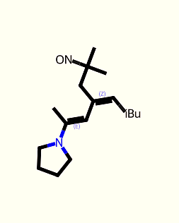 CCC(C)/C=C(\C=C(/C)N1CCCC1)CC(C)(C)N=O